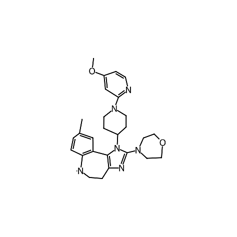 COc1ccnc(N2CCC(n3c(N4CCOCC4)nc4c3-c3cc(C)ccc3[N]CC4)CC2)c1